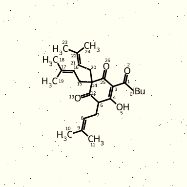 CCC(C)C(=O)C1=C(O)C(CC=C(C)C)C(=O)C(CC=C(C)C)(CC=C(C)C)C1=O